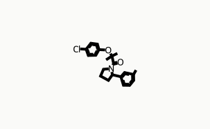 Cc1cccc(C2CCCN2C(=O)C(C)(C)Oc2ccc(Cl)cc2)c1